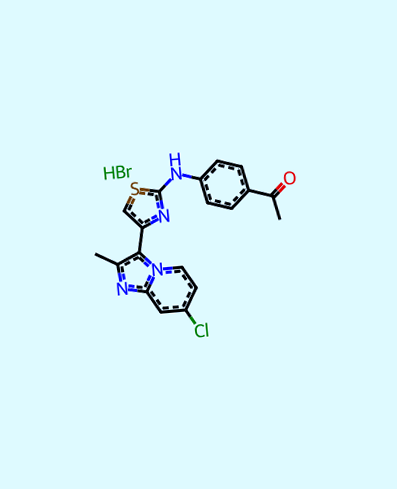 Br.CC(=O)c1ccc(Nc2nc(-c3c(C)nc4cc(Cl)ccn34)cs2)cc1